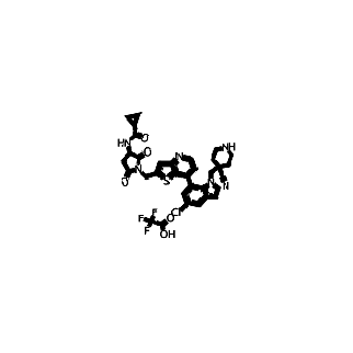 N#CC1(Cn2ccc3cc(Cl)cc(-c4ccnc5cc(CN6C(=O)CC(NC(=O)C7CC7)C6=O)sc45)c32)CCNCC1.O=C(O)C(F)(F)F